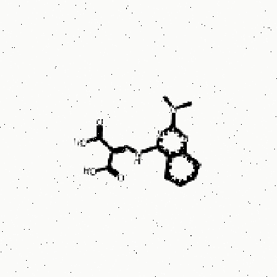 CN(C)c1nc(NC=C(C(=O)O)C(=O)O)c2ccccc2n1